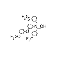 OCC(c1ccc(C(F)(F)F)cc1)N(Cc1cccc(SC(F)(F)F)c1)c1cccc(Oc2cccc(OC(F)(F)F)c2)c1